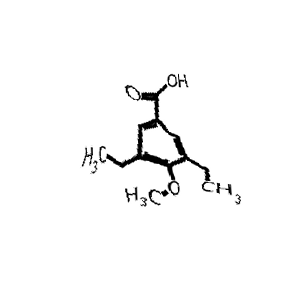 CCc1cc(C(=O)O)cc(CC)c1OC